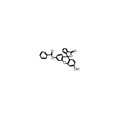 O=C(Oc1ccc2c(c1)Oc1cc(O)ccc1C21OC(=O)c2ccccc21)c1ccccc1